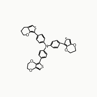 c1cc(N(c2ccc(-c3scc4c3OCCO4)cc2)c2ccc(-c3scc4c3OCCO4)cc2)ccc1-c1scc2c1OCCC2